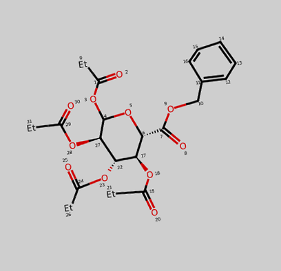 CCC(=O)OC1O[C@H](C(=O)OCc2ccccc2)[C@@H](OC(=O)CC)[C@H](OC(=O)CC)[C@H]1OC(=O)CC